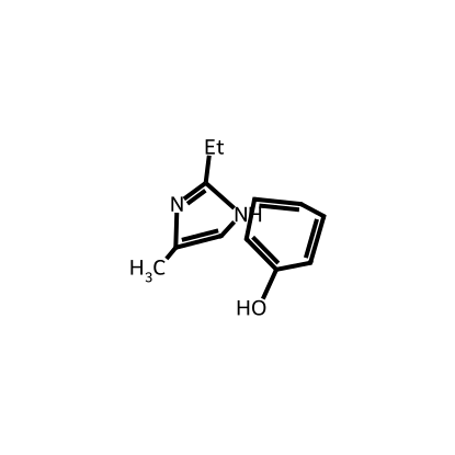 CCc1nc(C)c[nH]1.Oc1ccccc1